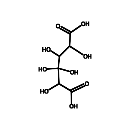 O=C(O)C(O)C(O)C(O)(O)C(O)C(=O)O